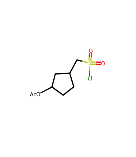 CC(=O)OC1CCC(CS(=O)(=O)Cl)C1